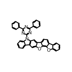 c1ccc(-c2nc(-c3ccccc3)nc(-n3c4ccccc4c4cc5oc6c(ccc7c8ccccc8oc76)c5cc43)n2)cc1